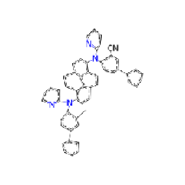 Cc1cc(-c2ccccc2)ccc1N(c1ccccn1)c1ccc2ccc3c(N(c4ccccn4)c4ccc(-c5ccccc5)cc4C#N)ccc4ccc1c2c43